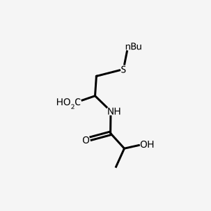 CCCCSCC(NC(=O)C(C)O)C(=O)O